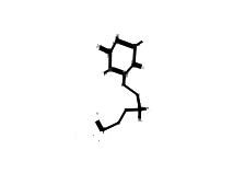 CC1=C(C)C(=O)C(CCC(C)(O)CCC(N)=O)=C(C)C1=O